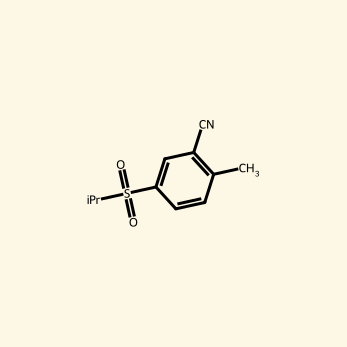 Cc1ccc(S(=O)(=O)C(C)C)cc1C#N